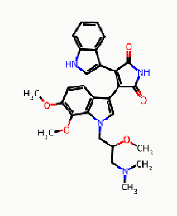 COc1ccc2c(C3=C(c4c[nH]c5ccccc45)C(=O)NC3=O)cn(CC(CN(C)C)OC)c2c1OC